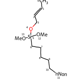 CC=CCO[Si](CCCCCCCCCCCCCC)(OC)OC